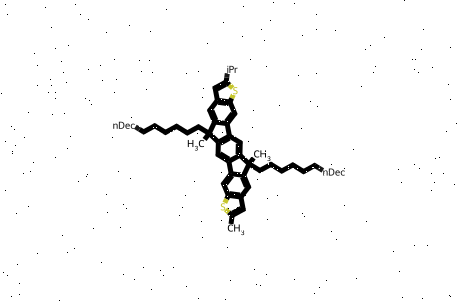 CCCCCCCCCCCCCCCCC1(C)c2cc3c(cc2-c2cc4sc(C)cc4cc21)C(C)(CCCCCCCCCCCCCCCC)c1cc2cc(C(C)C)sc2cc1-3